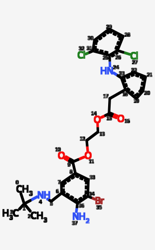 CC(C)(C)NCc1cc(C(=O)OCCOC(=O)Cc2ccccc2Nc2c(Cl)cccc2Cl)cc(Br)c1N